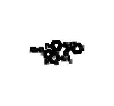 CO[C@H]1C[C@H]2CSC(N)=N[C@@]2(c2cc(NC(=O)c3ccncn3)ccc2F)C1